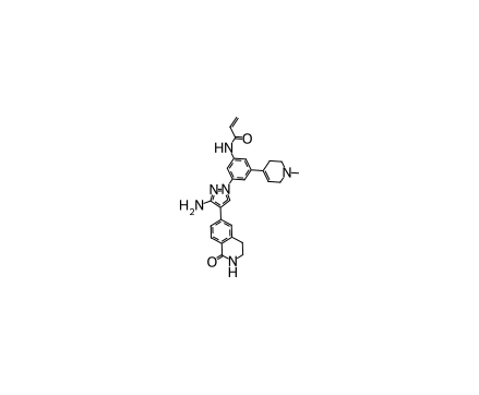 C=CC(=O)Nc1cc(C2=CCN(C)CC2)cc(-n2cc(-c3ccc4c(c3)CCNC4=O)c(N)n2)c1